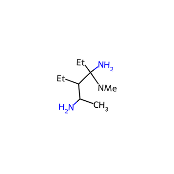 CCC(C(C)N)C(N)(CC)NC